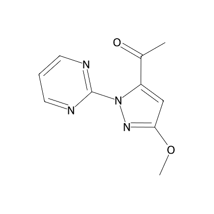 COc1cc(C(C)=O)n(-c2ncccn2)n1